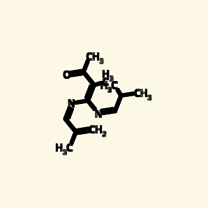 C=C(C)\C=N/C(/N=C\C(C)C)=C(/C)C(C)=O